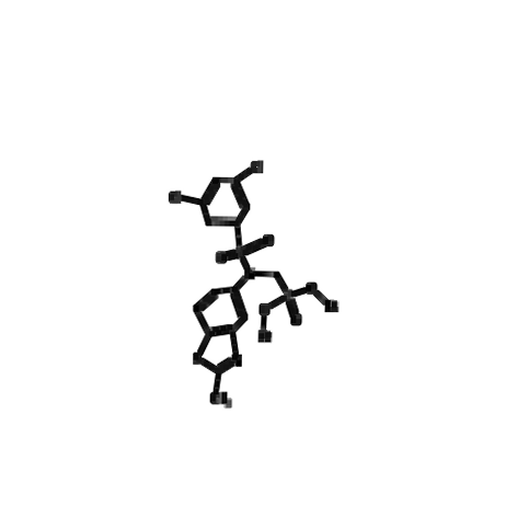 CCOP(=O)(CN(c1ccc2sc(C)nc2c1)S(=O)(=O)c1cc(Cl)cc(Cl)c1)OCC